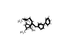 C/C=C/C=C\C(=C/c1ccc(-c2ccccc2)cc1)C1=C(S)C(C)CC1C